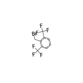 FC(F)(F)c1cccc(C(F)(F)F)c1CBr